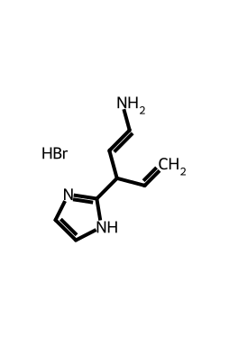 Br.C=CC(C=CN)c1ncc[nH]1